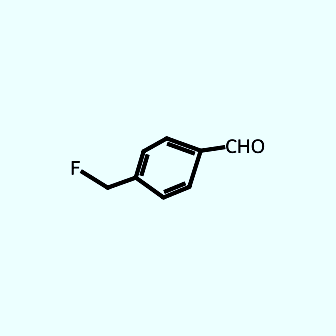 O=Cc1ccc(CF)cc1